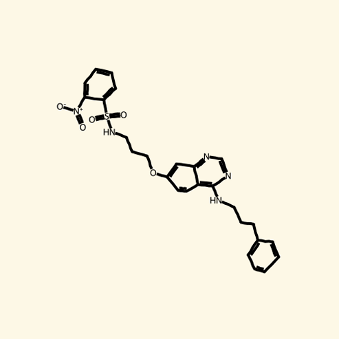 O=[N+]([O-])c1ccccc1S(=O)(=O)NCCCOc1ccc2c(NCCCc3ccccc3)ncnc2c1